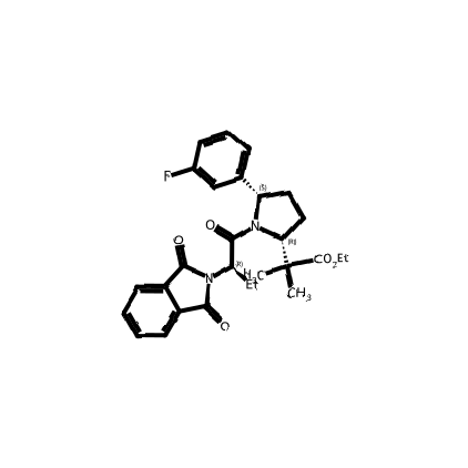 CCOC(=O)C(C)(C)[C@H]1CC[C@@H](c2cccc(F)c2)N1C(=O)[C@@H](CC)N1C(=O)c2ccccc2C1=O